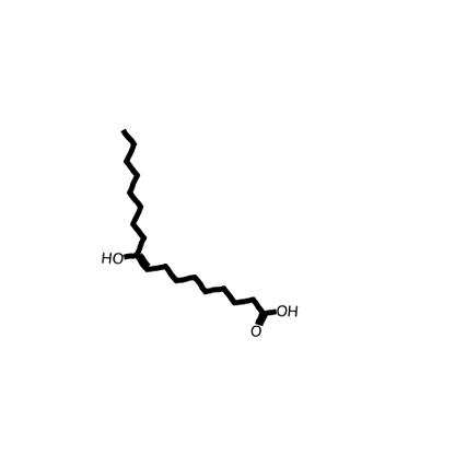 CCCCCCCC/C(O)=C\CCCCCCCC(=O)O